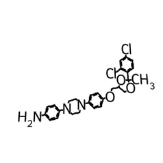 CC1(c2ccc(Cl)cc2Cl)OCC(COc2ccc(N3CCN(c4ccc(N)cc4)CC3)cc2)O1